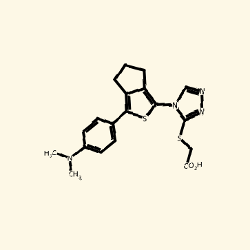 CN(C)c1ccc(-c2sc(-n3cnnc3SCC(=O)O)c3c2CCC3)cc1